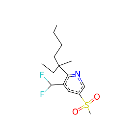 CCCCC(C)(CC)c1ncc(S(C)(=O)=O)cc1C(F)F